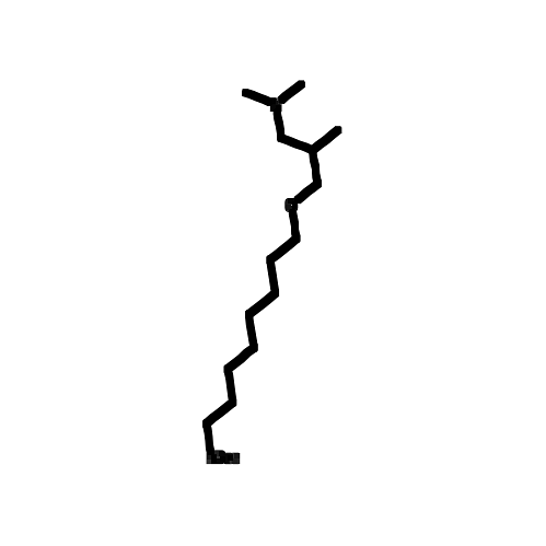 CCCCCCCCCCCCCCCCCCOCC(C)CN(C)C